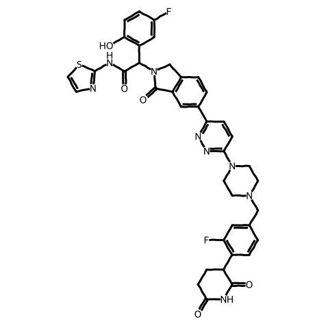 O=C1CCC(c2ccc(CN3CCN(c4ccc(-c5ccc6c(c5)C(=O)N(C(C(=O)Nc5nccs5)c5cc(F)ccc5O)C6)nn4)CC3)cc2F)C(=O)N1